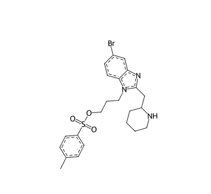 Cc1ccc(S(=O)(=O)OCCCn2c(CC3CCCCN3)nc3cc(Br)ccc32)cc1